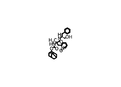 CC(Cc1cccc[n+]1[O-])(NC(=O)OC1C2CC3CC(C2)CC1C3)C(=O)N[C@H](CO)Cc1ccccc1